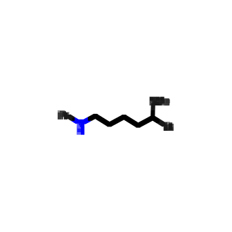 CCC(CCCCNC(C)C)NC